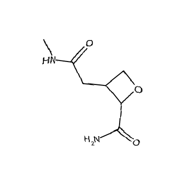 CNC(=O)CC1COC1C(N)=O